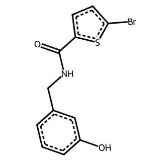 O=C(NCc1cccc(O)c1)c1ccc(Br)s1